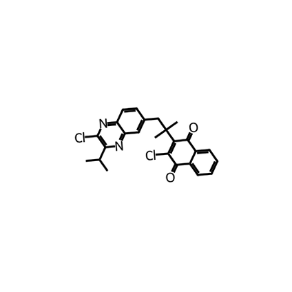 CC(C)c1nc2cc(CC(C)(C)C3=C(Cl)C(=O)c4ccccc4C3=O)ccc2nc1Cl